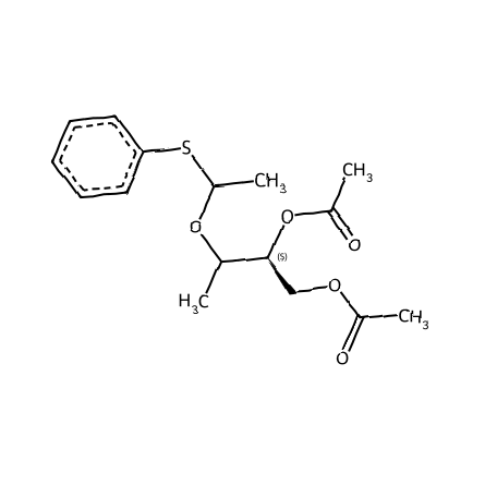 CC(=O)OC[C@H](OC(C)=O)C(C)OC(C)Sc1ccccc1